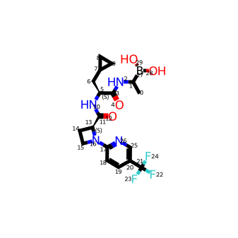 CC(NC(=O)[C@H](CC1CC1)NC(=O)[C@@H]1CCN1c1ccc(C(F)(F)F)cn1)B(O)O